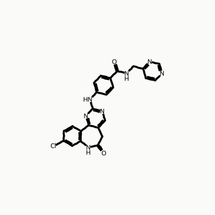 O=C1Cc2cnc(Nc3ccc(C(=O)NCc4ccncn4)cc3)nc2-c2ccc(Cl)cc2N1